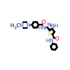 CN1CCN(c2ccc(C(=O)Nc3n[nH]c4cc(C(=O)Nc5ccccc5)sc34)cc2)CC1